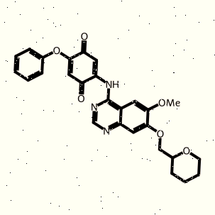 COc1cc2c(NC3=CC(=O)C(Oc4ccccc4)=CC3=O)ncnc2cc1OCC1CCCCO1